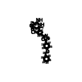 CN1C(=N)N[C@](C)(c2sc(-c3nnc(-c4ccc(OCc5ccccc5)cc4)o3)cc2Cl)CS1(=O)=O